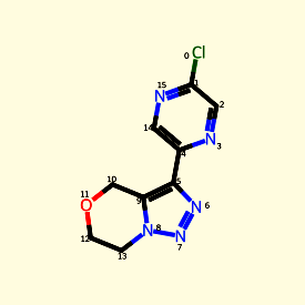 Clc1cnc(-c2nnn3c2COCC3)cn1